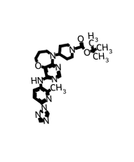 Cc1nc(-n2cncn2)ccc1Nc1ncnc2c1OCCCN2C1CCN(C(=O)OC(C)(C)C)CC1